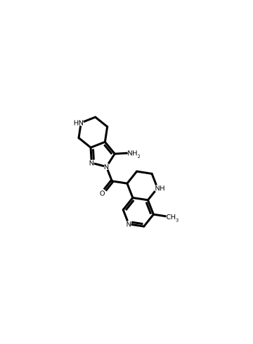 Cc1cncc2c1NCCC2C(=O)n1nc2c(c1N)CCNC2